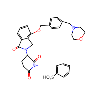 O=C1CCC(N2Cc3c(OCc4ccc(CN5CCOCC5)cc4)cccc3C2=O)C(=O)N1.O=S(=O)(O)c1ccccc1